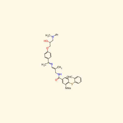 CNc1cc(C(=O)NC/C(C)=C/N=C(\C)c2ccc(OCC(O)CN(C)C(C)C)cc2)ccc1Sc1ccccc1C=O